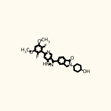 COc1cc(OC)c(F)c(-c2cc3[nH]nc(-c4ccc5c(c4)CN([C@H]4CC[C@H](O)CC4)C5=O)c3cn2)c1F